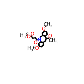 CCOc1ccc2c(c1)CN(C(=O)CCC(=O)OC)c1cc(OC)ccc1/C=C\2C(C)=O